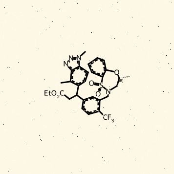 CCOC(=O)CC(c1ccc(C(F)(F)F)c(CN2C[C@@H](C)Oc3ccccc3S2(=O)=O)c1)c1ccc2c(nnn2C)c1C